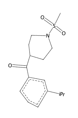 CC(C)c1cccc(C(=O)C2CCN(S(C)(=O)=O)CC2)c1